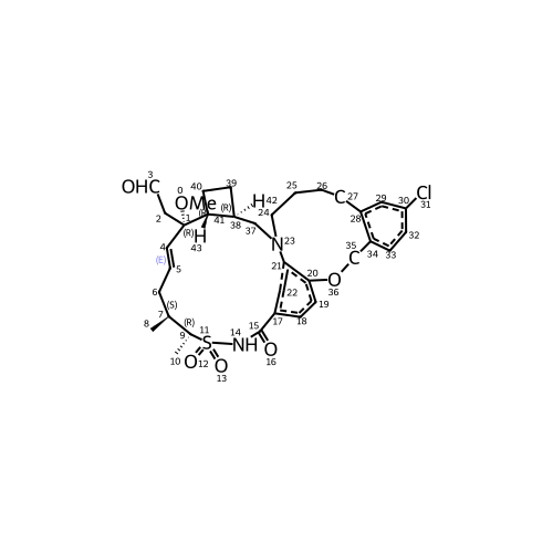 CO[C@@]1(CC=O)/C=C/C[C@H](C)[C@@H](C)S(=O)(=O)NC(=O)c2ccc3c(c2)N(CCCCc2cc(Cl)ccc2CO3)C[C@@H]2CC[C@H]21